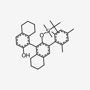 Cc1cc(C)c(-c2cc3c(c(-c4c(O)ccc5c4CCCC5)c2O[Si](C)(C)C(C)(C)C)CCCC3)c(C)c1